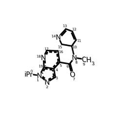 CC(C)n1ncc2c(C(=O)N(C)C3C=CC=NC3)ccnc21